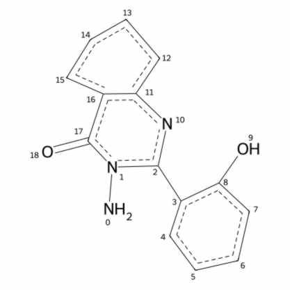 Nn1c(-c2ccccc2O)nc2ccccc2c1=O